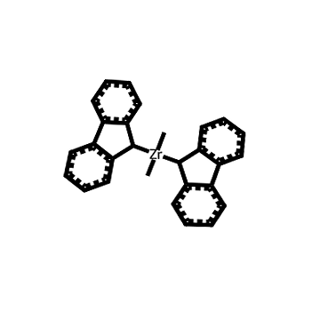 [CH3][Zr]([CH3])([CH]1c2ccccc2-c2ccccc21)[CH]1c2ccccc2-c2ccccc21